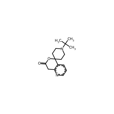 CC(C)(C)N1CCC2(CC1)OC(=O)Cc1ncccc12